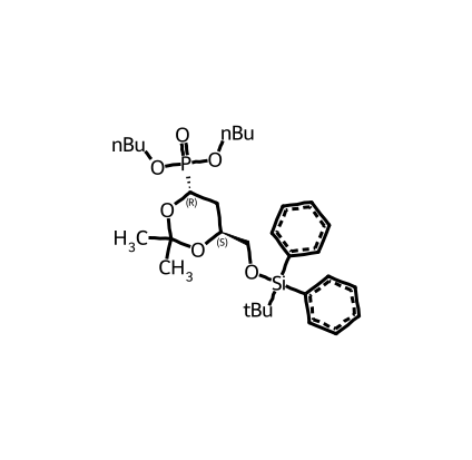 CCCCOP(=O)(OCCCC)[C@@H]1C[C@@H](CO[Si](c2ccccc2)(c2ccccc2)C(C)(C)C)OC(C)(C)O1